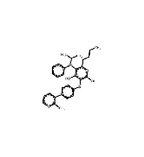 CCCCc1nc(O)c(Sc2ccc(-c3cccnc3C)cc2)c(O)c1N(c1ccccc1)C(C)C